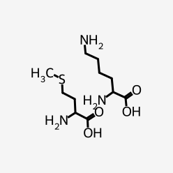 CSCCC(N)C(=O)O.NCCCCC(N)C(=O)O